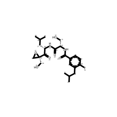 CC(C)Cc1cc(C(=O)N[C@@H](CO)C(=O)N[C@@H](CC(C)C)C(=O)[C@@]2(CO)CO2)ccc1F